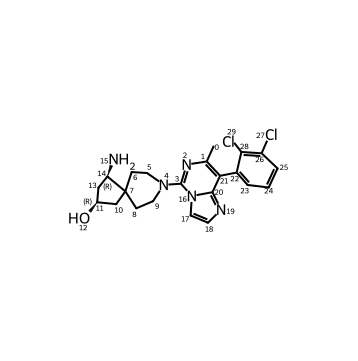 Cc1nc(N2CCC3(CC2)C[C@@H](O)C[C@H]3N)n2ccnc2c1-c1cccc(Cl)c1Cl